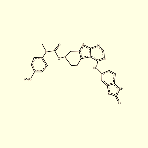 COc1ccc(N(C)C(=O)OC2CCc3c(sc4ncnc(Nc5ccc6[nH]c(=O)sc6c5)c34)C2)cc1